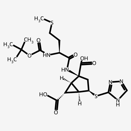 CSCC[C@H](NC(=O)OC(C)(C)C)C(=O)N[C@@]1(C(=O)O)C[C@@H](Sc2nnc[nH]2)[C@H]2[C@H](C(=O)O)[C@H]21